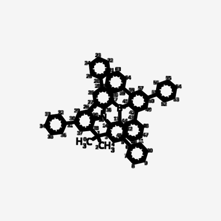 CC1(C)c2cc(-c3ccccc3)cc3c2-n2c4c(cc(-c5ccccc5)cc4c4cc(-c5ccccc5)cc1c42)B3c1c(-c2ccccc2)cc(-c2ccccc2)cc1-c1ccccc1